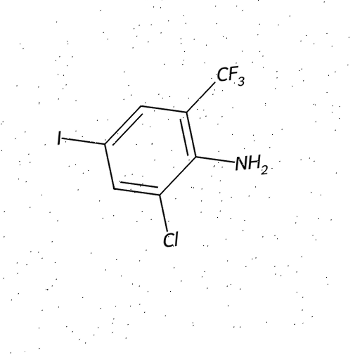 Nc1c(Cl)cc(I)cc1C(F)(F)F